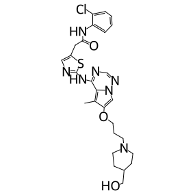 Cc1c(OCCCN2CCC(CO)CC2)cn2ncnc(Nc3ncc(CC(=O)Nc4ccccc4Cl)s3)c12